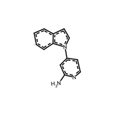 Nc1cc(-n2ccc3cc[c]cc32)ccn1